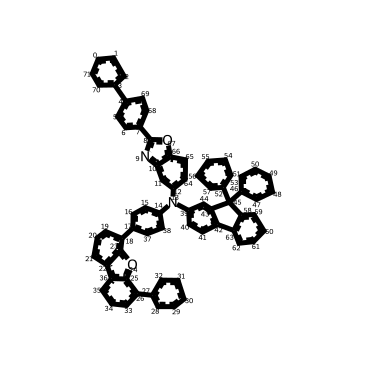 c1ccc(-c2ccc(-c3nc4cc(N(c5ccc(-c6cccc7c6oc6c(-c8ccccc8)cccc67)cc5)c5ccc6c(c5)C(c5ccccc5)(c5ccccc5)c5ccccc5-6)ccc4o3)cc2)cc1